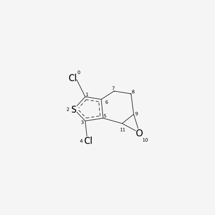 Clc1sc(Cl)c2c1CCC1OC21